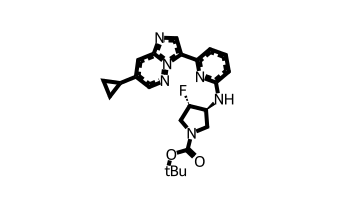 CC(C)(C)OC(=O)N1C[C@H](Nc2cccc(-c3cnc4cc(C5CC5)cnn34)n2)[C@@H](F)C1